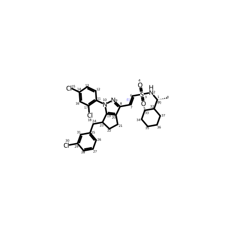 C[C@@H](NS(=O)(=O)/C=C/c1nn(-c2ccc(Cl)cc2Cl)c2c1CCC2Cc1cccc(Cl)c1)C1CCCCC1